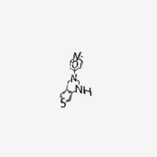 c1scc2c1CN(C13CC[N]C(C1)O3)CN2